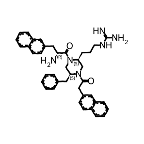 N=C(N)NCCC[C@H]1CN(C(=O)Cc2ccc3ccccc3c2)[C@@H](Cc2ccccc2)CN1C(=O)[C@H](N)Cc1ccc2ccccc2c1